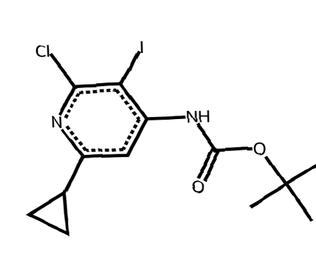 CC(C)(C)OC(=O)Nc1cc(C2CC2)nc(Cl)c1I